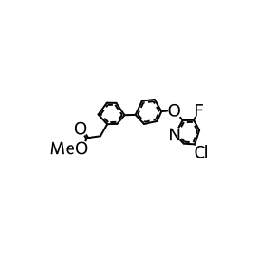 COC(=O)Cc1cccc(-c2ccc(Oc3ncc(Cl)cc3F)cc2)c1